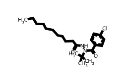 CCCCCCCCCCC(=O)NN(C(=O)c1ccc(Cl)cc1)C(C)(C)C